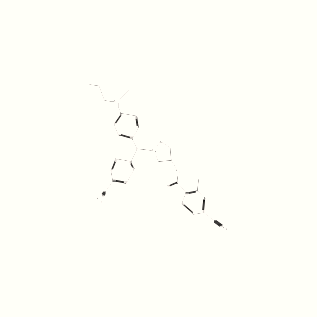 CCCN(C)c1ccc(C(c2ccc(C#N)cc2)N2CCC(NC(=O)c3ccc(C#N)cc3F)C2)cc1